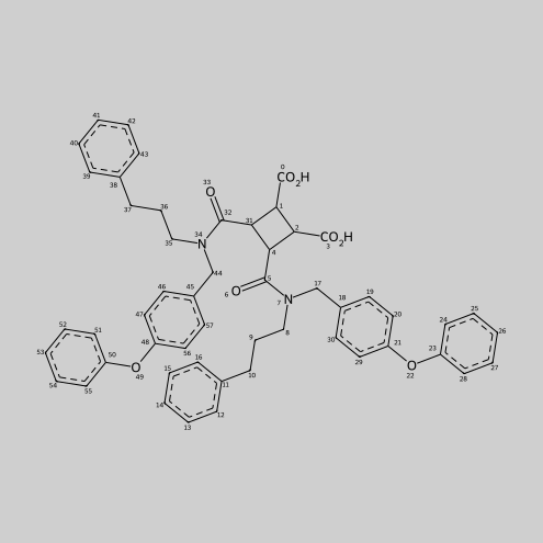 O=C(O)C1C(C(=O)O)C(C(=O)N(CCCc2ccccc2)Cc2ccc(Oc3ccccc3)cc2)C1C(=O)N(CCCc1ccccc1)Cc1ccc(Oc2ccccc2)cc1